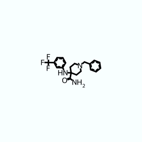 NC(=O)C1(Nc2cccc(C(F)(F)F)c2)CCN(Cc2ccccc2)CC1